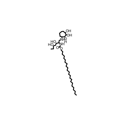 CCCCCCCCCCCCCCCCCCCCCCCCOC(=O)NC(CNC1CCCCC(O)C(O)C1O)C(O)CC(O)CC